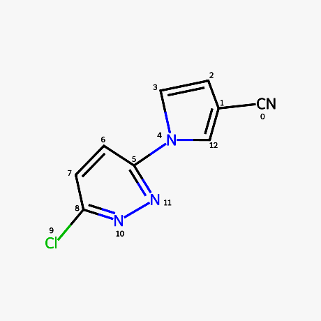 N#Cc1ccn(-c2ccc(Cl)nn2)c1